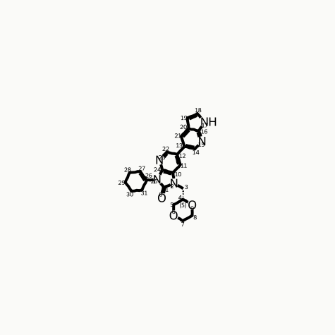 O=c1n(C[C@H]2COCCO2)c2cc(-c3cnc4[nH]ccc4c3)cnc2n1C1=CCCCC1